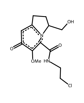 COc1c(C(=O)NCCCl)n2c(cc1=O)CCC2CO